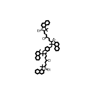 C=C(/C=C/C(Cl)=C/C=C1/N(CC)c2ccc3ccccc3c2C1(C)C)C(C)(Cc1ccc(CC2(C)C(/C=C/C(Cl)=C/C=C3/N(CC)c4ccc5ccccc5c4C3(C)C)=[N+](C)c3ccc4ccccc4c32)cc1)c1c(C)ccc2ccccc12